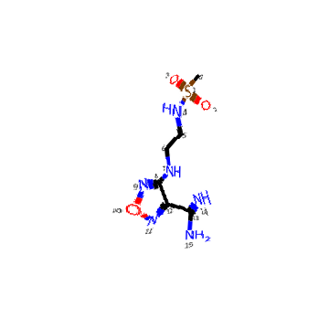 CS(=O)(=O)NCCNc1nonc1C(=N)N